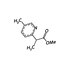 COC(=O)C(C)c1ccc(C)cn1